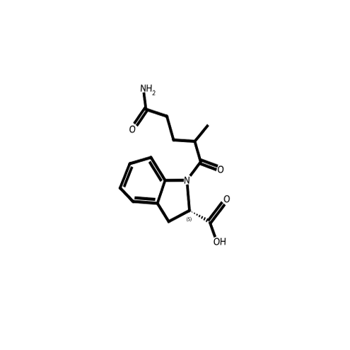 CC(CCC(N)=O)C(=O)N1c2ccccc2C[C@H]1C(=O)O